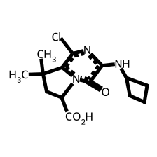 CC1(C)CC(C(=O)O)n2c1c(Cl)nc(NC1CCC1)c2=O